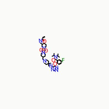 C=CC(=O)/N=C\C1CCCN(S(=O)(=O)N2CCC(CN3CCC4(CC3)CN(c3ncnnc3Oc3ccc(F)cc3C(=O)N(C(C)C)C(C)C)C4)CC2)C1